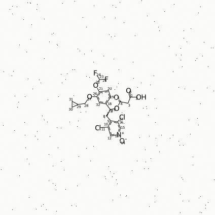 O=C(O)CC(=O)O[C@@H](Cc1c(Cl)c[n+]([O-])cc1Cl)c1ccc(OC(F)F)c(OCC2CC2)c1